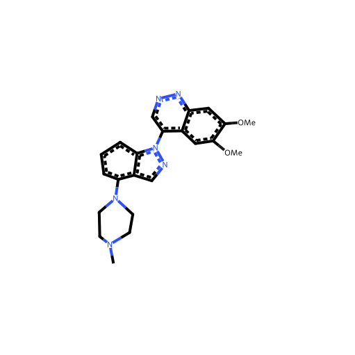 COc1cc2nncc(-n3ncc4c(N5CCN(C)CC5)cccc43)c2cc1OC